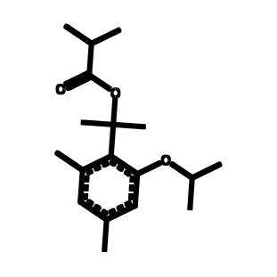 Cc1cc(C)c(C(C)(C)OC(=O)C(C)C)c(OC(C)C)c1